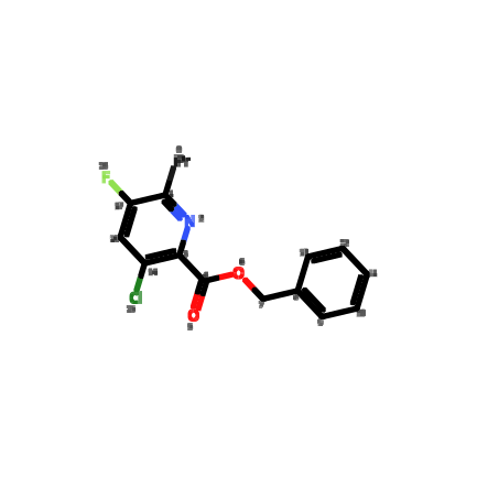 CC(C)c1nc(C(=O)OCc2ccccc2)c(Cl)cc1F